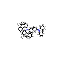 CC1(C)c2ccccc2-c2c(N(c3ccc4cc(-n5c6ccccc6c6ccccc65)ccc4c3)c3cccc4c3-c3ccccc3C4(C)C)cccc21